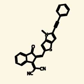 Cn1c(C#Cc2ccccc2)cc2sc(/C=C3\C(=O)c4ccccc4C3=C(C#N)C#N)cc21